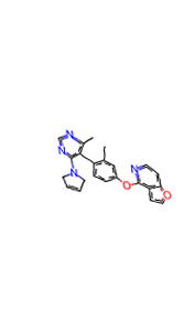 Cc1cc(Oc2nccc3occc23)ccc1-c1c(C)ncnc1N1CC=CC1